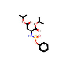 CC(C)OC(=O)C[C@H](N[PH](=O)Oc1ccccc1)C(=O)OC(C)C